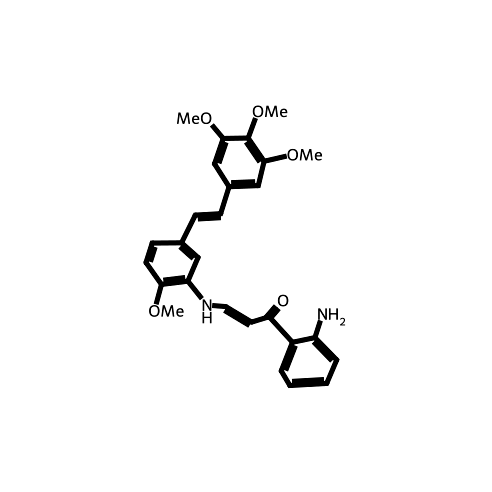 COc1ccc(C=Cc2cc(OC)c(OC)c(OC)c2)cc1NC=CC(=O)c1ccccc1N